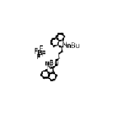 CCCCN1c2cccc3cccc(c23)C1C=CC=CC=c1c2cccc3cccc(c32)n1CCCC.F[B-](F)(F)F